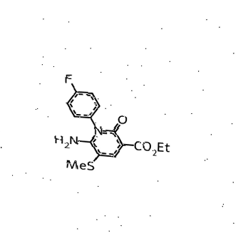 CCOC(=O)c1cc(SC)c(N)n(-c2ccc(F)cc2)c1=O